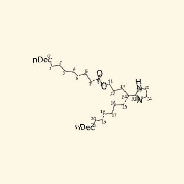 CCCCCCCCCCCCCCCCCC(=O)OCCCC(CCCCCCCCCCCCCCCC)C1=NCCN1